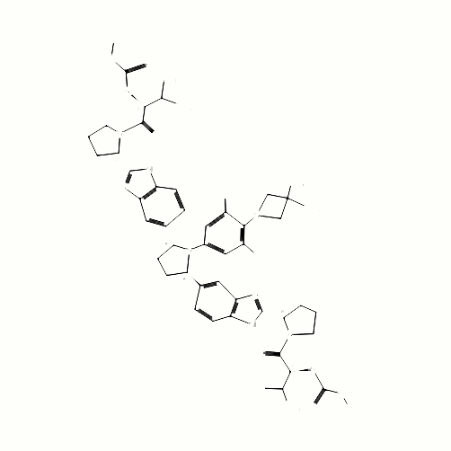 COC(=O)N[C@H](C(=O)N1CCC[C@H]1c1nc2cc([C@H]3CC[C@H](c4ccc5[nH]c([C@@H]6CCCN6C(=O)[C@@H](NC(=O)OC)C(C)C)nc5c4)N3c3cc(F)c(N4CC(C)(C)C4)c(F)c3)ccc2[nH]1)C(C)C